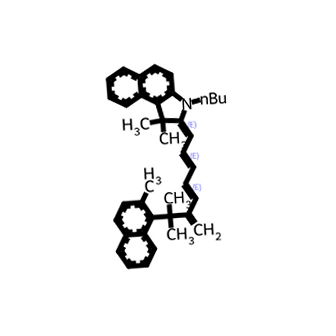 C=C(/C=C/C=C/C=C1/N(CCCC)c2ccc3ccccc3c2C1(C)C)C(C)(C)c1c(C)ccc2ccccc12